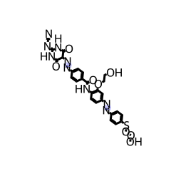 N#CN=C1NC(=O)C(/N=N/c2ccc(C(=O)Nc3ccc(/N=N/c4ccc(SOOO)cc4)cc3OCCO)cc2)C(=O)N1